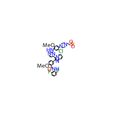 COc1cc(N2CCN(CCS(C)(=O)=O)CC2)c(Cl)cc1Nc1nccc(-c2c(-c3ccc(OC)c(C(=O)Nc4c(F)cccc4F)c3)nc3ccccn23)n1